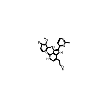 COCCc1c[nH]c(=O)c2c(Nc3cccc(F)c3OC)c(-c3ccnc(C)n3)[nH]c12